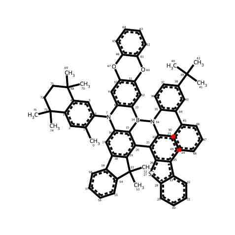 Cc1cc2c(cc1N1c3cc4c(cc3B3c5c1cc1c(c5-c5c(ccc6c5sc5ccccc56)N3c3ccc(C(C)(C)C)cc3-c3ccccc3)C(C)(C)c3ccccc3-1)Oc1ccccc1O4)C(C)(C)CCC2(C)C